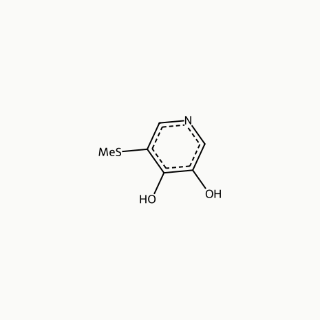 CSc1cncc(O)c1O